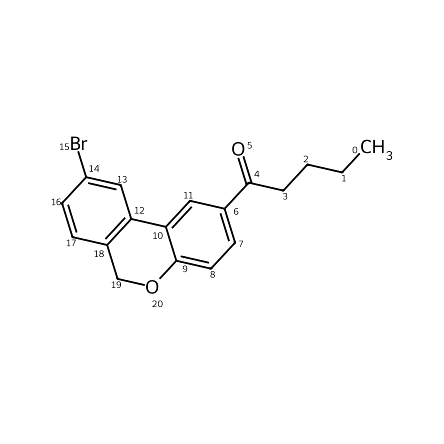 CCCCC(=O)c1ccc2c(c1)-c1cc(Br)ccc1CO2